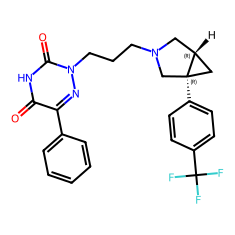 O=c1[nH]c(=O)n(CCCN2C[C@@H]3C[C@@]3(c3ccc(C(F)(F)F)cc3)C2)nc1-c1ccccc1